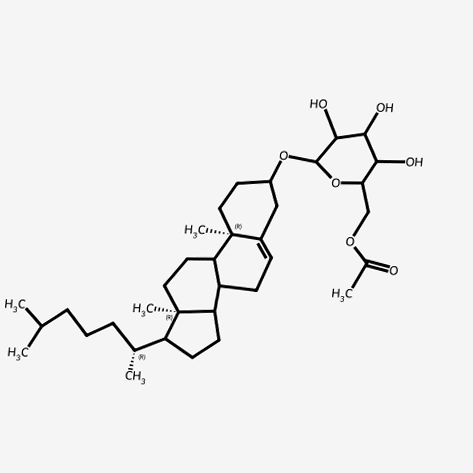 CC(=O)OCC1OC(OC2CC[C@@]3(C)C(=CCC4C5CCC([C@H](C)CCCC(C)C)[C@@]5(C)CCC43)C2)C(O)C(O)C1O